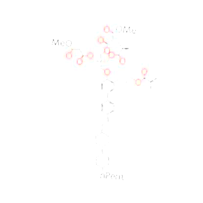 C=C(C)C(=O)OCCCc1cc(-c2ccc(CCC3CCC(C4CCC(CCCCC)CC4)CC3)cc2)ccc1OCC(COC(=O)CC(=O)OC)(COC(=O)CC(=O)OC)COC(=O)C(=C)C